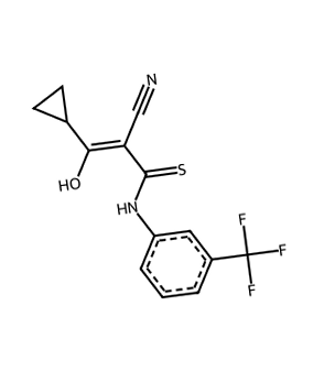 N#CC(C(=S)Nc1cccc(C(F)(F)F)c1)=C(O)C1CC1